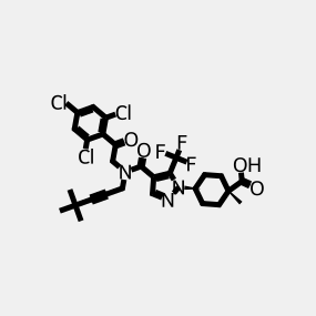 CC(C)(C)C#CCN(CC(=O)c1c(Cl)cc(Cl)cc1Cl)C(=O)c1cnn([C@H]2CC[C@](C)(C(=O)O)CC2)c1C(F)(F)F